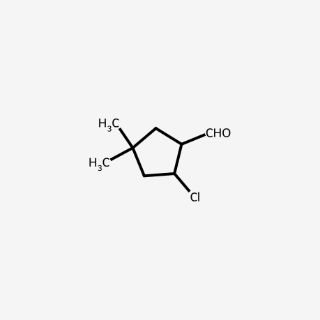 CC1(C)CC(Cl)C(C=O)C1